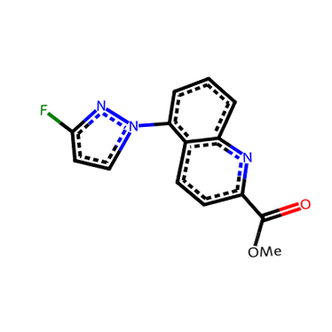 COC(=O)c1ccc2c(-n3ccc(F)n3)cccc2n1